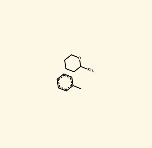 Cc1ccccc1.[SiH3]C1CCCCO1